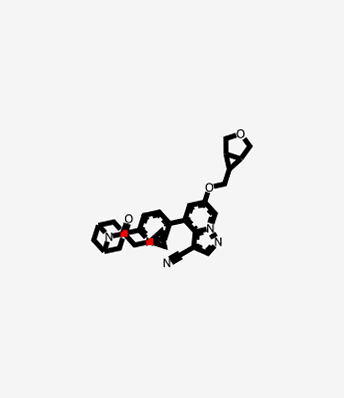 N#Cc1cnn2cc(OCC3C4COCC43)cc(-c3ccc(N4CC5CC(C4)N5C(=O)CC4CC4)nc3)c12